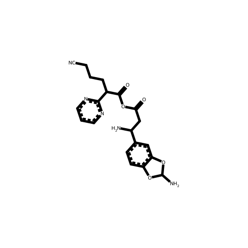 N#CCCCC(C(=O)OC(=O)CC(N)c1ccc2c(c1)OC(N)O2)c1ncccn1